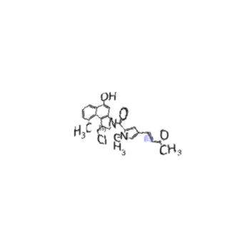 CC(=O)/C=C/c1cc(C(=O)N2C[C@@H](CCl)c3c2cc(O)c2cccc(C)c32)n(C)c1